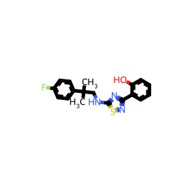 CC(C)(CNc1nc(-c2ccccc2O)ns1)c1ccc(F)cc1